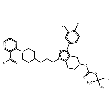 CC(C)(C)OC(=O)ON1CCc2c(c(-c3ccc(Cl)c(Cl)c3)nn2CCCN2CCN(c3ccccc3[N+](=O)[O-])CC2)C1